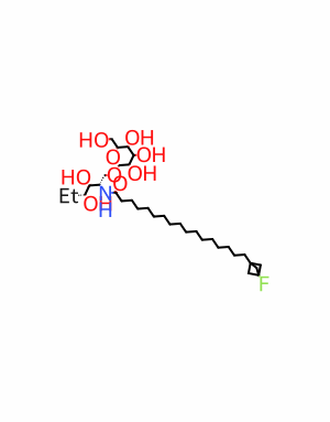 CC[C@@H](O)[C@@H](O)[C@H](COC1OC(CO)C(O)C(O)C1O)NC(=O)CCCCCCCCCCCCCCCCC12CC(F)(C1)C2